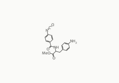 COC(=O)C(Cc1ccc(N)cc1)NC(=O)c1ccc(N=C=O)cc1